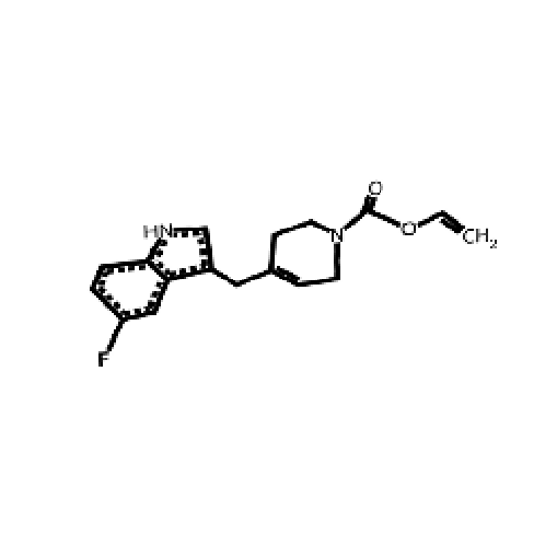 C=COC(=O)N1CC=C(Cc2c[nH]c3ccc(F)cc23)CC1